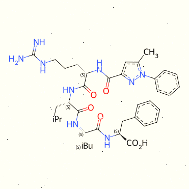 CC[C@H](C)[C@H](NC(=O)[C@H](CC(C)C)NC(=O)[C@H](CCCNC(=N)N)NC(=O)c1cc(C)n(-c2ccccc2)n1)C(=O)N[C@@H](Cc1ccccc1)C(=O)O